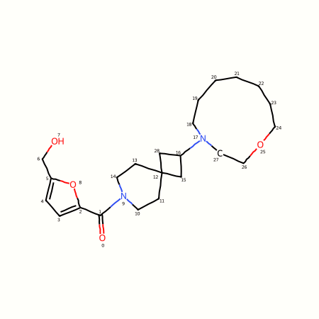 O=C(c1ccc(CO)o1)N1CCC2(CC1)CC(N1CCCCCCCOCC1)C2